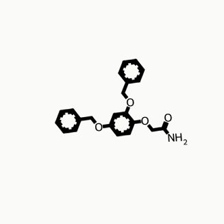 NC(=O)COc1ccc(OCc2ccccc2)cc1OCc1ccccc1